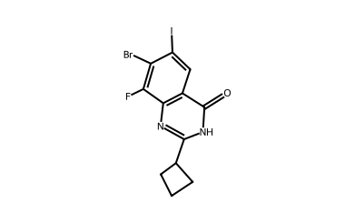 O=c1[nH]c(C2CCC2)nc2c(F)c(Br)c(I)cc12